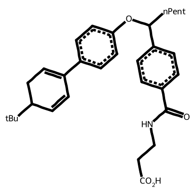 CCCCCC(Oc1ccc(C2=CCC(C(C)(C)C)C=C2)cc1)c1ccc(C(=O)NCCC(=O)O)cc1